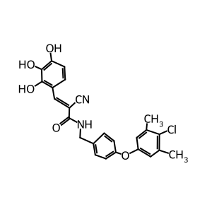 Cc1cc(Oc2ccc(CNC(=O)/C(C#N)=C/c3ccc(O)c(O)c3O)cc2)cc(C)c1Cl